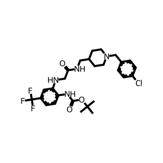 CC(C)(C)OC(=O)Nc1ccc(C(F)(F)F)cc1NCC(=O)NCC1CCN(Cc2ccc(Cl)cc2)CC1